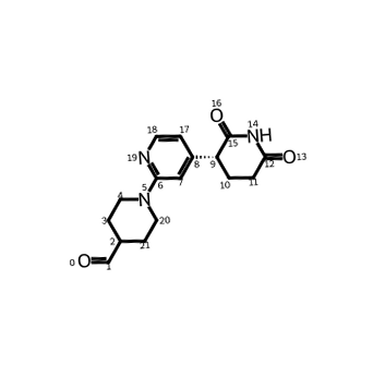 O=CC1CCN(c2cc([C@H]3CCC(=O)NC3=O)ccn2)CC1